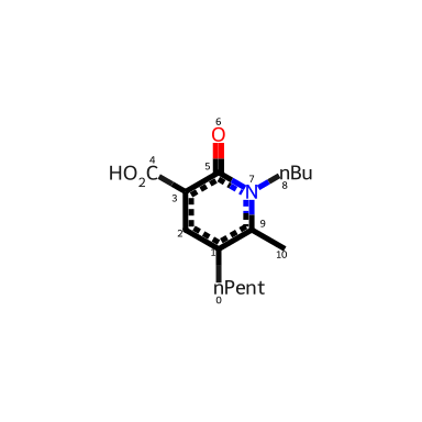 CCCCCc1cc(C(=O)O)c(=O)n(CCCC)c1C